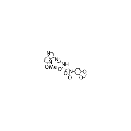 COc1ccc2nccc(N3CC(NC(=O)[C@@H]4CN(c5ccc6c(c5)OCCO6)C(=O)O4)C3)c2n1